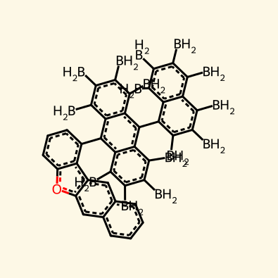 Bc1c(B)c(B)c2c(-c3c4c(B)c(B)c(B)c(B)c4c(-c4cccc5oc6cc7ccccc7cc6c45)c4c(B)c(B)c(B)c(B)c34)c(B)c(B)c(B)c2c1B